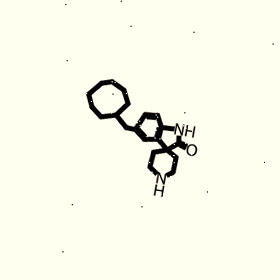 O=C1Nc2ccc(CC3CCCCCCC3)cc2C12CCNCC2